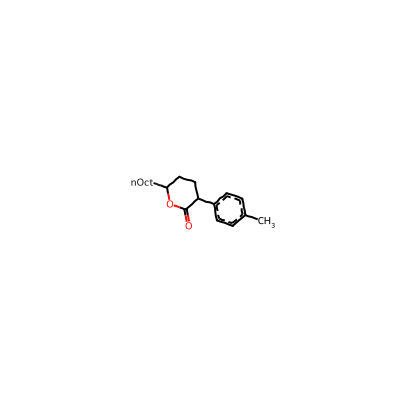 CCCCCCCCC1CCC(c2ccc(C)cc2)C(=O)O1